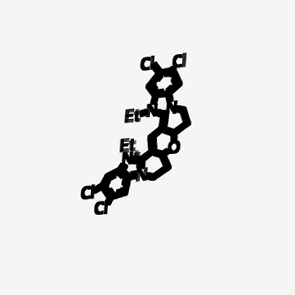 CCN1C2=C3C=C4c5n(c6cc(Cl)c(Cl)cc6[n+]5CC)CCC4OC3CCN2c2cc(Cl)c(Cl)cc21